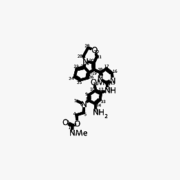 CNC(=O)OCCN(C)c1cc(OC)c(Nc2nccc(-c3c4n(c5ccccc35)CCOC4)n2)cc1N